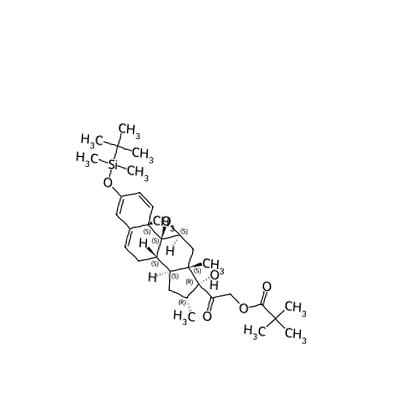 C[C@@H]1C[C@H]2[C@@H]3CC=C4C=C(O[Si](C)(C)C(C)(C)C)C=C[C@]4(C)[C@@]34O[C@H]4C[C@]2(C)[C@@]1(O)C(=O)COC(=O)C(C)(C)C